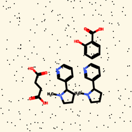 CN1CCCC1c1cccnc1.CN1CCCC1c1cccnc1.O=C(O)CCC(=O)O.O=C(O)c1ccccc1O